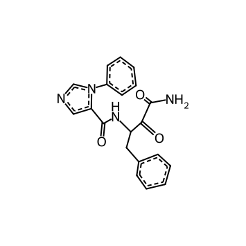 NC(=O)C(=O)C(Cc1ccccc1)NC(=O)c1cncn1-c1ccccc1